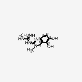 CNC(=N)NC(=N)N(C)Cc1cccc(O)c1O